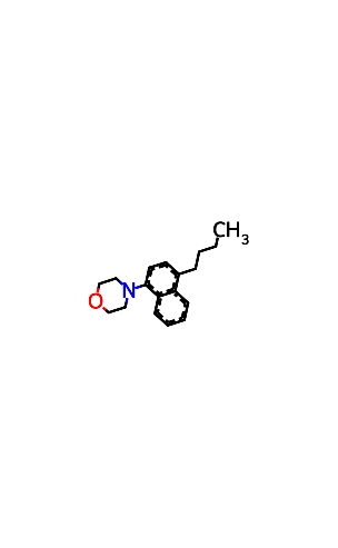 CCCCc1ccc(N2CCOCC2)c2ccccc12